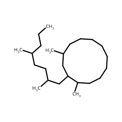 CCCC(C)CCC(C)CC1CC(C)CCCCCCCCC1C